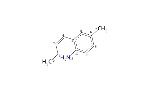 CC/C=C\c1cc(C)ccc1N